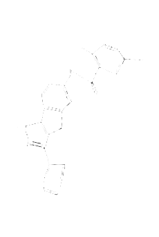 O=C(Nc1ccc2c(c1)Cc1c(-c3ccccc3)n[nH]c1-2)c1cc(F)ccc1F